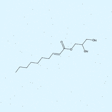 CCCCCCCC=CC(=O)OCC(O)CO